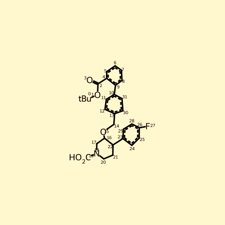 CC(C)(C)OC(=O)c1ccccc1-c1ccc(COC2CN(C(=O)O)CCC2c2ccc(F)cc2)cc1